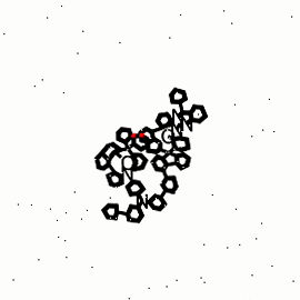 c1ccc(-c2cccc(N(c3ccc(N4c5ccccc5-c5cccc6ccc7c(c56)Oc5c4cccc5C7(c4ccccc4)c4ccccc4)cc3)c3cccc(-c4cccc(-c5cccc6c5-c5ccccc5C65c6cccc7c6Oc6c5ccc5cccc(c65)-c5ccccc5N7c5nc(-c6ccccc6)c6ccccc6n5)c4)c3)c2)cc1